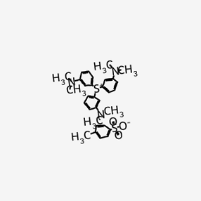 CN(C)c1cccc([S+](c2cccc(N(C)C)c2)c2cccc(N(C)C)c2)c1.Cc1ccc(S(=O)(=O)[O-])cc1